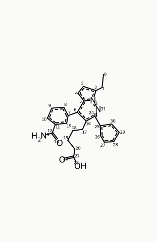 CCc1ccc2c(-c3cccc(C(N)=O)c3)c(CCCCC(=O)O)c(-c3ccccc3)nn12